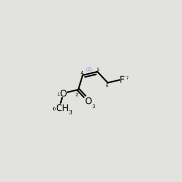 COC(=O)/C=C\CF